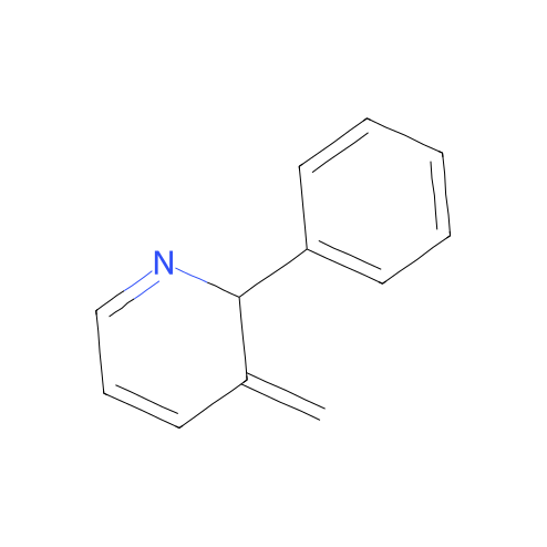 C=C1C=CC=NC1c1ccccc1